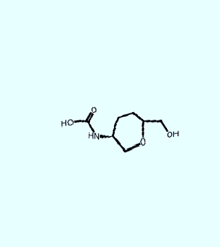 O=C(O)N[C@H]1CCC(CO)OC1